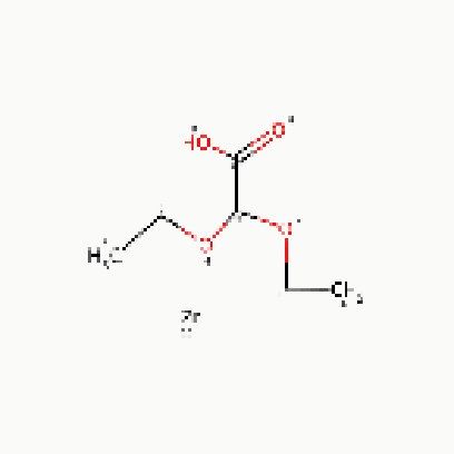 CCOC(OCC)C(=O)O.[Zr]